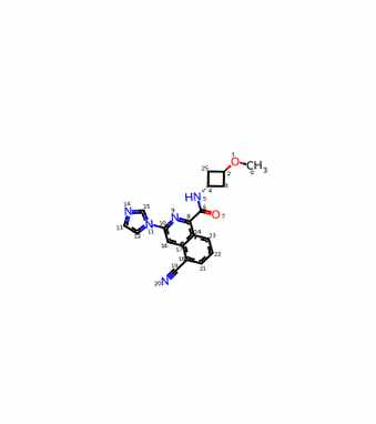 CO[C@H]1C[C@H](NC(=O)c2nc(-n3ccnc3)cc3c(C#N)cccc23)C1